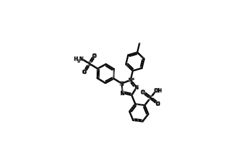 Cc1ccc(-[n+]2nc(-c3ccccc3S(=O)(=O)O)nn2-c2ccc(S(N)(=O)=O)cc2)cc1